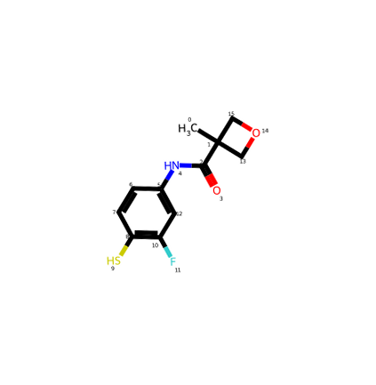 CC1(C(=O)Nc2ccc(S)c(F)c2)COC1